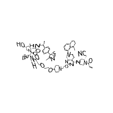 C=CC(=O)N1CCN(c2nc(OCCN3CCC(OCCOCC(=O)N[C@H](C(=O)N4C[C@H](O)C[C@H]4C(=O)N[C@@H](C)c4ccc(-c5scnc5C)cc4)C(C)(C)C)CC3)nc3c2CCN(c2cccc4cccc(C)c24)C3)C[C@@H]1CC#N